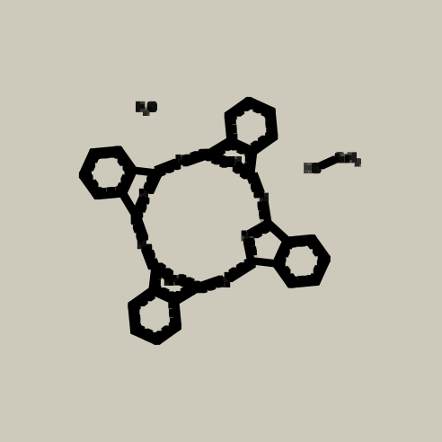 O.[OH][GaH2].c1ccc2c(c1)-c1nc-2nc2[nH]c(nc3nc(nc4[nH]c(n1)c1ccccc41)-c1ccccc1-3)c1ccccc21